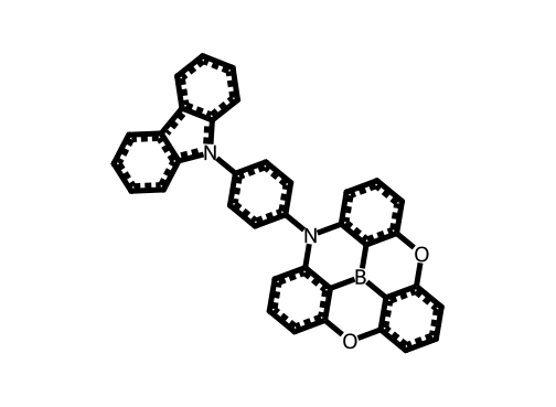 c1cc2c3c(c1)Oc1cccc4c1B3c1c(cccc1N4c1ccc(-n3c4ccccc4c4ccccc43)cc1)O2